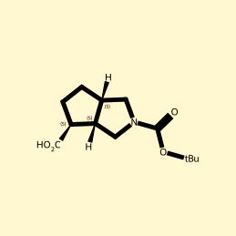 CC(C)(C)OC(=O)N1C[C@H]2CC[C@H](C(=O)O)[C@H]2C1